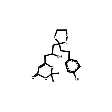 CC1(C)OC(=O)C=C(CC(O)CC2(CCc3ccc(O)cc3)SCCCS2)O1